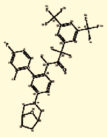 Cc1cc(F)ccc1-c1cc(N2CC3CCC(C2)O3)ncc1N(C)C(=O)C(C)(C)c1cc(C(F)(F)F)cc(C(F)(F)F)c1